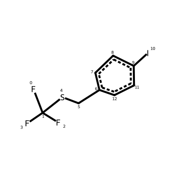 FC(F)(F)SCc1ccc(I)cc1